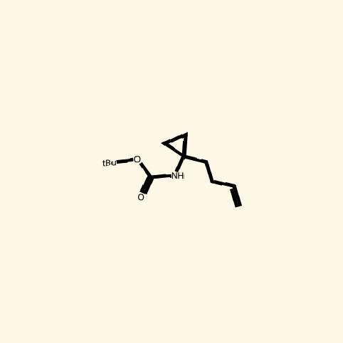 C=CCCC1(NC(=O)OC(C)(C)C)CC1